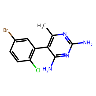 Cc1nc(N)nc(N)c1-c1cc(Br)ccc1Cl